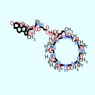 CC=CC[C@@H](C)C(OC(=O)OCOC(=O)CCC(=O)NC(C(=O)OCC(=O)[C@@]1(O)[C@H](C)CC2C3CCC4=CC(=O)C=C[C@]4(C)[C@@]3(F)[C@@H](O)C[C@@]21C)C(C)C)[C@@H]1C(=O)N[C@H](CC)C(=O)N(C)CC(=O)N(C)[C@@H](CC(C)C)C(=O)NC(C(C)C)C(=O)N(C)[C@H](CC(C)C)C(=O)NC(C)C(=O)NC(C)C(=O)N(C)C(CC(C)C)C(=O)N(C)[C@H](CC(C)C)C(=O)N(C)C(C(C)C)C(=O)N1C